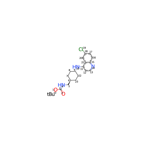 CC(C)(C)OC(=O)NC[C@H]1CC[C@H](Nc2ccnc3ccc(Cl)cc23)CC1